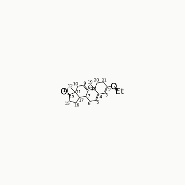 CCOC1=CC2=CCC3C(=CCC4(C)C(=O)CCC34)C2(C)CC1